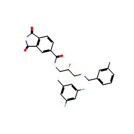 CCc1cccc(CNC[C@H](O)[C@H](Cc2cc(F)cc(F)c2)NC(=O)c2ccc3c(c2)C(=O)NC3=O)c1